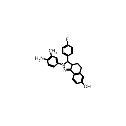 Cc1cc(N2N=C3c4ccc(O)cc4CCC3C2c2ccc(F)cc2)ccc1N